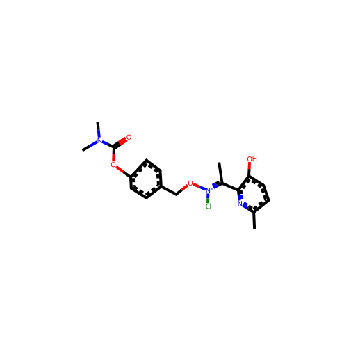 CC(c1nc(C)ccc1O)=[N+](Cl)OCc1ccc(OC(=O)N(C)C)cc1